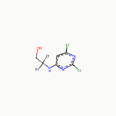 CCC(CC)(CO)Nc1cc(Cl)nc(Cl)n1